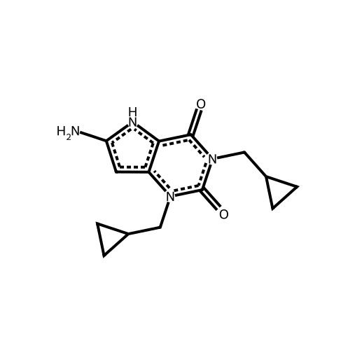 Nc1cc2c([nH]1)c(=O)n(CC1CC1)c(=O)n2CC1CC1